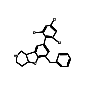 Clc1cc(Cl)c(-c2cc(Cc3ccccc3)c3c(c2)C2CNCCC2O3)c(Cl)c1